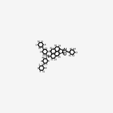 c1ccc(-c2ccc(N(c3ccc(-c4ccccc4)cc3)c3ccc4cc5c6c(ccc7ccc3c4c76)-c3nc(-c4ccccc4)oc3-5)cc2)cc1